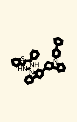 C1=C(c2ccc3c4ccccc4n(C4Nc5c(sc6ccccc56)C(c5ccccc5)N4)c3c2)CCc2c1c1ccccc1n2-c1ccc(-c2ccccc2)cc1